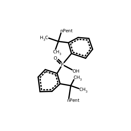 CCCCCC(C)(C)c1ccccc1P(=O)(O)c1ccccc1C(C)(C)CCCCC